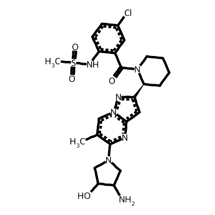 Cc1cn2nc([C@@H]3CCCCN3C(=O)c3cc(Cl)ccc3NS(C)(=O)=O)cc2nc1N1CC(N)C(O)C1